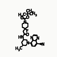 C[C@H]1C[C@@H](NC(=O)CC2(F)CCN(C(=O)OC(C)(C)C)CC2)CN(c2ccc(C#N)c3nccnc23)C1